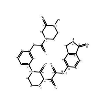 CN1CCN(C(=O)Cc2cccc(N3CCO[C@H](C(=O)C(=O)Nc4ccc5c(c4)CNC5=N)C3=O)c2)CC1=O